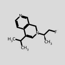 CC(C)C1=CN([C@H](C)CF)Cc2cnccc21